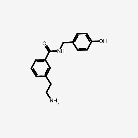 NCCc1cccc(C(=O)NCc2ccc(O)cc2)c1